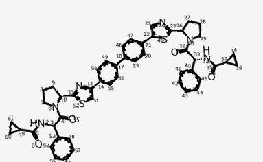 O=C(NC(C(=O)N1CCC[C@H]1c1nc(-c2ccc(-c3ccc(-c4cnc(C5CCCN5C(=O)[C@H](NC(=O)C5CC5)c5ccccc5)s4)cc3)cc2)cs1)c1ccccc1)C1CC1